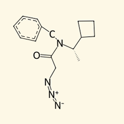 C[C@@H](C1CCC1)N(Cc1ccccc1)C(=O)CN=[N+]=[N-]